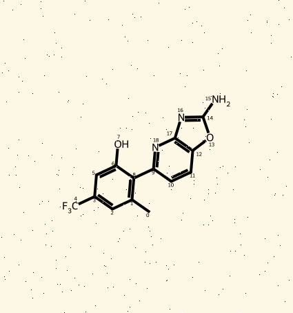 Cc1cc(C(F)(F)F)cc(O)c1-c1ccc2oc(N)nc2n1